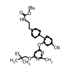 CCC(C)(C)COc1cc(Oc2cc(C#N)ccc2-c2ccc(CCNC(=O)OC(C)(C)C)cc2)nc(C)n1